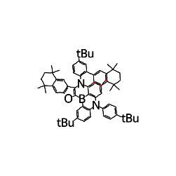 Cc1cc2c3c(c1)N(c1ccc(C(C)(C)C)cc1-c1ccc4c(c1)C(C)(C)CCC4(C)C)c1c(oc4cc5c(cc14)C(C)(C)CCC5(C)C)B3c1cc(C(C)(C)C)ccc1N2c1ccc(C(C)(C)C)cc1